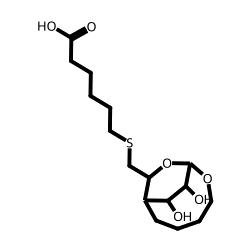 O=C(O)CCCCCSCC1OC2OCCCCC1C(O)C2O